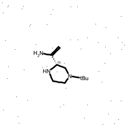 C=C(N)[C@@H]1CN(C(C)(C)C)CCN1